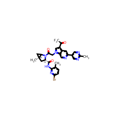 Cc1ncc(-c2cc3c(C(=O)C(F)(F)F)cn(CC(=O)N4C5C[C@]5(C)C[C@H]4C(=O)Nc4nc(Br)ccc4C)c3cn2)cn1